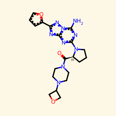 Nc1nc(N2CCC[C@H]2C(=O)N2CCN(C3COC3)CC2)nc2nc(-c3ccco3)nn12